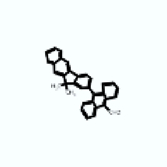 CC1(C)c2cc(-c3c4ccccc4c(C=O)c4ccccc34)ccc2-c2cc3ccccc3cc21